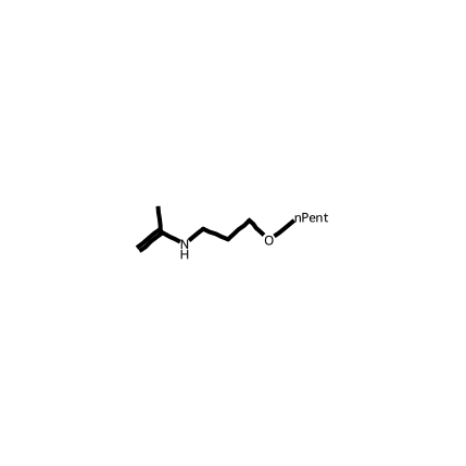 C=C(C)NCCCOCCCCC